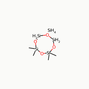 C[Si]1(C)O[SiH2]O[SiH2]O[Si](C)(C)O1.[SiH4]